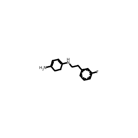 NC1=CC=C(NCCc2cccc(F)c2)CC1